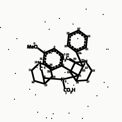 COc1ccc(C2(N(C(=O)O)C3CN4CCC3CC4)C3CCN(CC3)[C@@]2(C)c2ccccc2)cc1